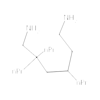 CCCC(CCN)CC(CN)(CCC)CCC